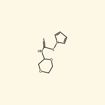 S=C(NC1COCCO1)Sn1cccc1